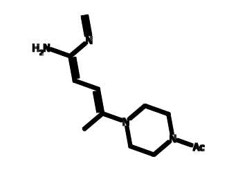 C=N/C(N)=C\C=C(/C)N1CCN(C(C)=O)CC1